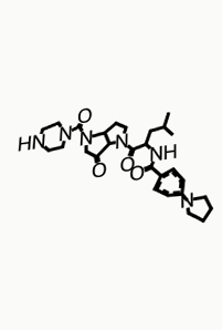 CC(C)CC(NC(=O)c1ccc(N2CCCC2)cc1)C(=O)N1CCC2C1C(=O)CN2C(=O)N1CCNCC1